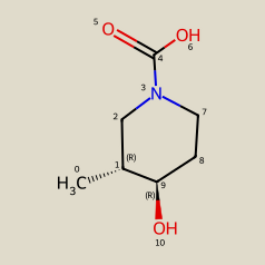 C[C@@H]1CN(C(=O)O)CC[C@H]1O